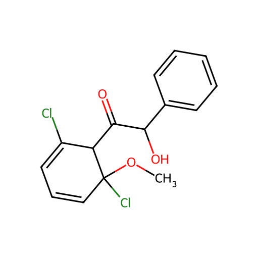 COC1(Cl)C=CC=C(Cl)C1C(=O)C(O)c1ccccc1